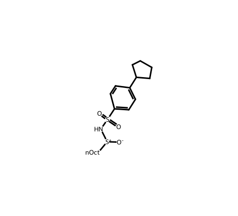 CCCCCCCC[S+]([O-])NS(=O)(=O)c1ccc(C2CCCC2)cc1